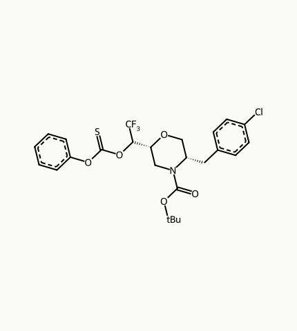 CC(C)(C)OC(=O)N1C[C@H](C(OC(=S)Oc2ccccc2)C(F)(F)F)OC[C@@H]1Cc1ccc(Cl)cc1